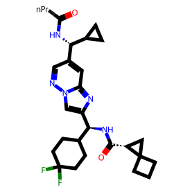 CCCC(=O)N[C@@H](c1cnn2cc([C@@H](NC(=O)[C@@H]3CC34CCC4)C3CCC(F)(F)CC3)nc2c1)C1CC1